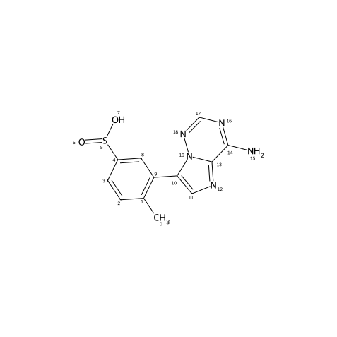 Cc1ccc(S(=O)O)cc1-c1cnc2c(N)ncnn12